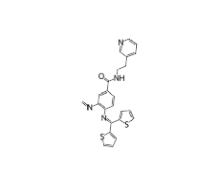 C=Nc1cc(C(=O)NCCc2cccnc2)ccc1N=C(c1cccs1)c1cccs1